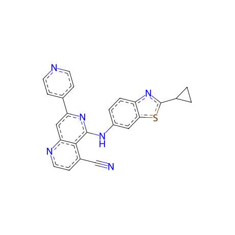 N#Cc1ccnc2cc(-c3ccncc3)nc(Nc3ccc4nc(C5CC5)sc4c3)c12